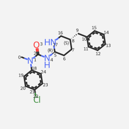 CN(C(=O)N[C@@H]1CC[C@@H](Cc2ccccc2)CN1)c1ccc(Cl)cc1